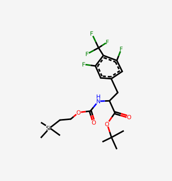 CC(C)(C)OC(=O)C(Cc1cc(F)c(C(F)(F)F)c(F)c1)NC(=O)OCC[Si](C)(C)C